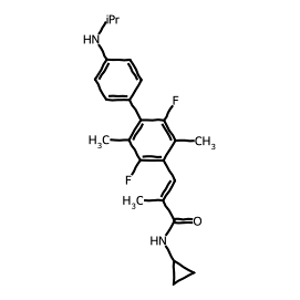 C/C(=C\c1c(C)c(F)c(-c2ccc(NC(C)C)cc2)c(C)c1F)C(=O)NC1CC1